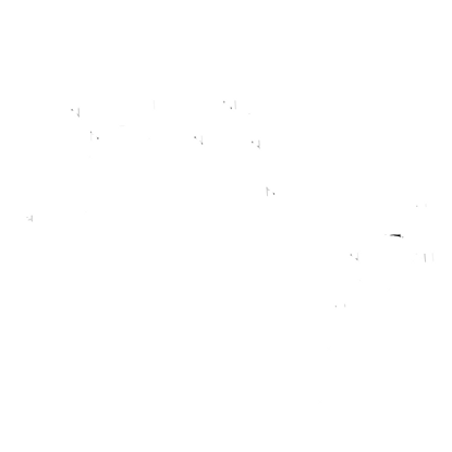 Cc1ccn(-c2cc(Br)ccc2[C@@H](Oc2cc(N3CCC4(CC3)C[C@@H](C(=O)O)N(C(=O)OCc3ccccc3)C4)nc(N)n2)C(F)(F)F)n1